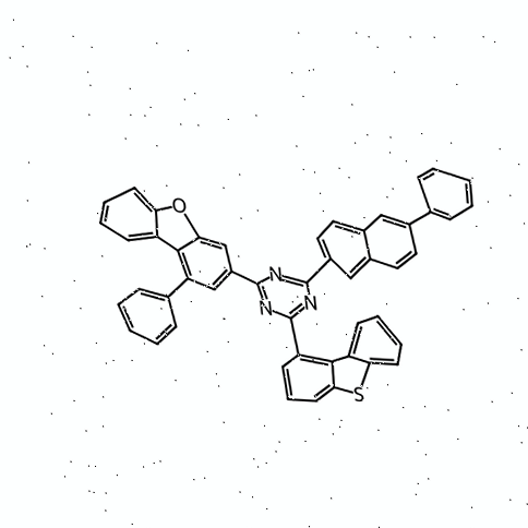 c1ccc(-c2ccc3cc(-c4nc(-c5cc(-c6ccccc6)c6c(c5)oc5ccccc56)nc(-c5cccc6sc7ccccc7c56)n4)ccc3c2)cc1